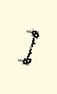 C/C(=C\C=C\[C@@H]1[C@H]2[C@H](C)[C@@H](O)[C@H](C)C[C@@H]2C=C[C@@H]1C)CCOCC/C(C)=C/C=C/[C@@H]1[C@H]2[C@H](C)[C@@H](O)[C@H](C)C[C@@H]2C=C[C@@H]1C